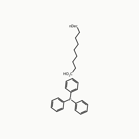 CCCCCCCCCCCCCCCCCC(=O)O.c1ccc(P(c2ccccc2)c2ccccc2)cc1